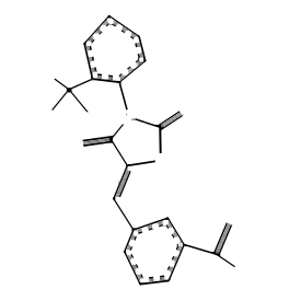 O=C(O)c1cccc(/C=C2\SC(=S)N(c3ccccc3C(F)(F)F)C2=O)c1